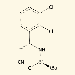 CC(C)(C)[S@@+]([O-])N[C@H](CC#N)c1cccc(Cl)c1Cl